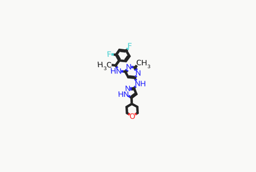 Cc1nc(Nc2cc(C3CCOCC3)[nH]n2)cc(NC(C)c2ccc(F)cc2F)n1